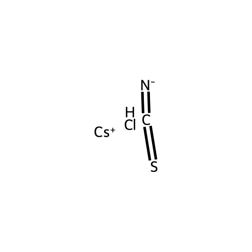 Cl.[Cs+].[N-]=C=S